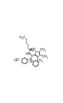 CCCCCC(=O)[NH][Ti+2]([C]1=C(C)C(C)=C(C)C1C)[SiH](c1ccccc1)c1ccccc1.[Cl-].[Cl-]